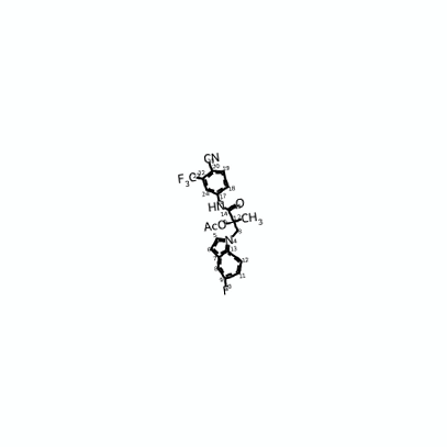 CC(=O)O[C@@](C)(Cn1ccc2cc(F)ccc21)C(=O)Nc1ccc(C#N)c(C(F)(F)F)c1